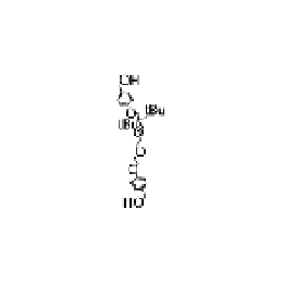 CC(C)(C)CC(COCCOCCOc1ccc(CO)cc1)(COc1ccc(CO)cc1)C(C)(C)C